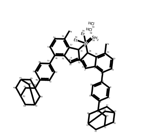 CCC1=Cc2c(-c3ccc(C45CC6CC(CC(C6)C4)C5)cc3)ccc(C)c2[CH]1[Zr](=[SiH2])([CH2]C)([CH2]C)[CH]1C(C)=Cc2c(-c3ccc(C45CC6CC(CC(C6)C4)C5)cc3)ccc(C)c21.Cl.Cl